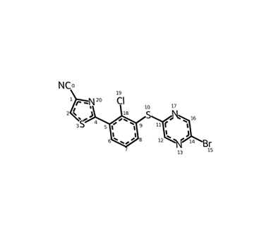 N#Cc1csc(-c2cccc(Sc3cnc(Br)cn3)c2Cl)n1